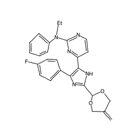 C=C1COC(c2nc(-c3ccc(F)cc3)c(-c3ccnc(N(CC)c4ccccc4)n3)[nH]2)OC1